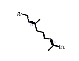 CC/C(C)=C/CCC/C(C)=C/CBr